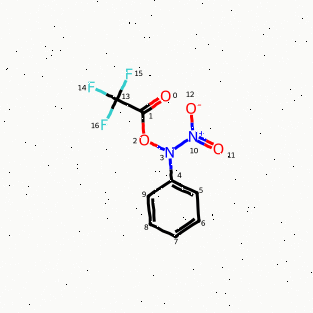 O=C(ON(c1ccccc1)[N+](=O)[O-])C(F)(F)F